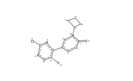 O=c1ccc(-c2nc(Cl)ncc2F)cn1C1CCC1